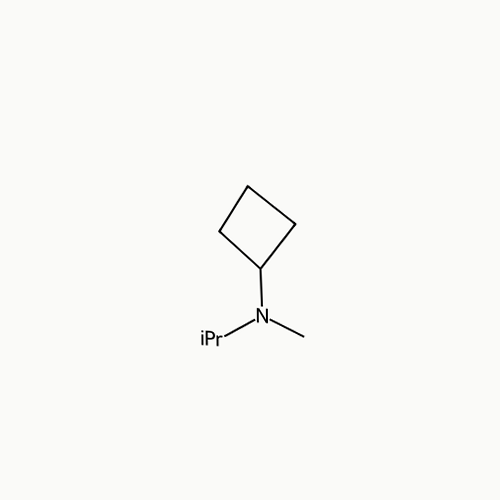 CC(C)N(C)C1CCC1